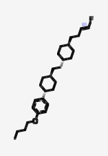 CCCCOc1ccc([C@H]2CC[C@H](CC[C@H]3CC[C@H](CC/C=C/F)CC3)CC2)cc1